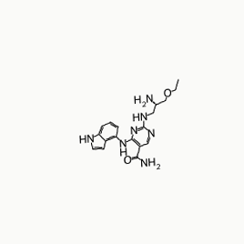 CCOC[C@H](N)CNc1ncc(C(N)=O)c(Nc2cccc3[nH]ccc23)n1